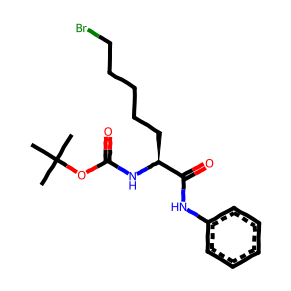 CC(C)(C)OC(=O)N[C@@H](CCCCCBr)C(=O)Nc1ccccc1